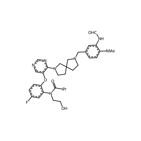 CNc1ccc(CN2CCC3(CCN(c4ncncc4Oc4ccc(F)cc4N(CCO)C(=O)C(C)C)C3)C2)cc1NC=O